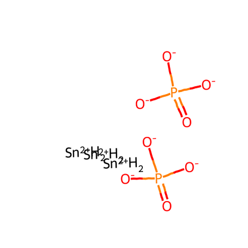 O=P([O-])([O-])[O-].O=P([O-])([O-])[O-].[SnH2+2].[SnH2+2].[SnH2+2]